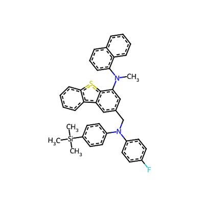 CN(c1cccc2ccccc12)c1cc(CN(c2ccc(F)cc2)c2ccc([Si](C)(C)C)cc2)cc2c1sc1ccccc12